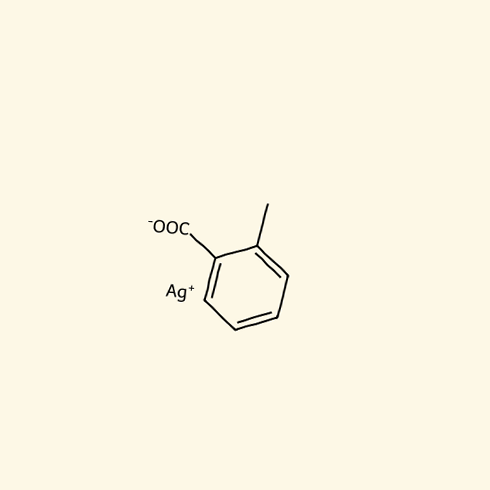 Cc1ccccc1C(=O)[O-].[Ag+]